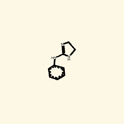 [c]1ccc(NC2=NCCN2)cc1